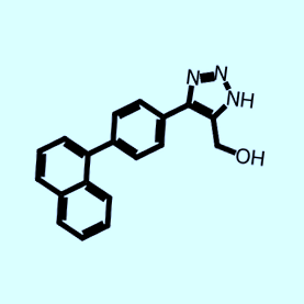 OCc1[nH]nnc1-c1ccc(-c2cccc3ccccc23)cc1